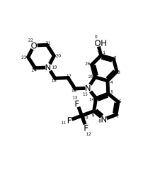 Oc1ccc2c3ccnc(C(F)(F)F)c3n(CCCN3CCOCC3)c2c1